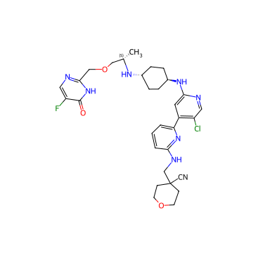 C[C@@H](COCc1ncc(F)c(=O)[nH]1)N[C@H]1CC[C@H](Nc2cc(-c3cccc(NCC4(C#N)CCOCC4)n3)c(Cl)cn2)CC1